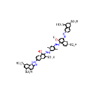 CCOc1cc(N=Nc2ccc3cc(S(=O)(=O)O)cc(S(=O)(=O)O)c3c2)c2cc(S(=O)(=O)O)ccc2c1N=Nc1cc(C)c(N=Nc2c(S(=O)(=O)O)cc3cc(-n4nc5ccc6c(S(=O)(=O)O)cc(S(=O)(=O)O)cc6c5n4)ccc3c2O)cc1C